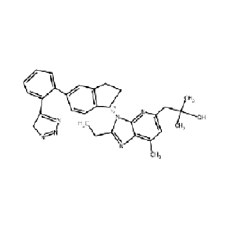 CCc1nc2c(C)cc(CC(C)(C)O)nc2n1[C@H]1CCc2cc(-c3ccccc3C3=NN=NC3)ccc21